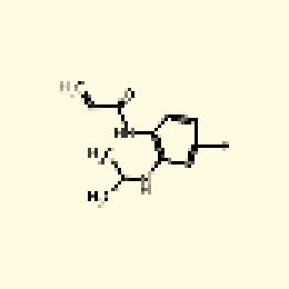 C=CC(=O)Nc1ccc(F)cc1NC(C)C